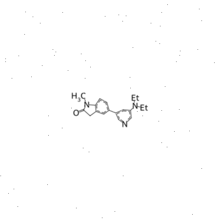 CCN(CC)c1cncc(-c2ccc3c(c2)CC(=O)N3C)c1